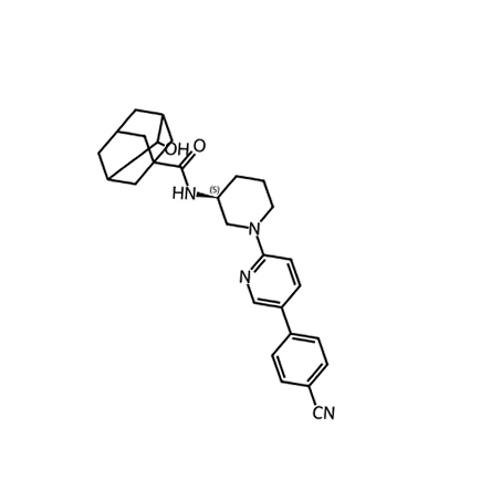 N#Cc1ccc(-c2ccc(N3CCC[C@H](NC(=O)C45CC6CC(C4)C(O)C(C6)C5)C3)nc2)cc1